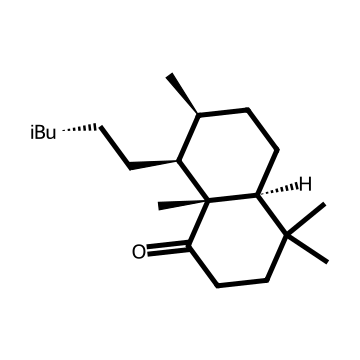 CC[C@@H](C)CC[C@H]1[C@@H](C)CC[C@H]2C(C)(C)CCC(=O)[C@]12C